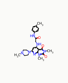 Cc1ccc(NC(=O)CNc2cc(N3CCN(C)CC3)nc3c2c(=O)n(C)c(=O)n3C)cc1